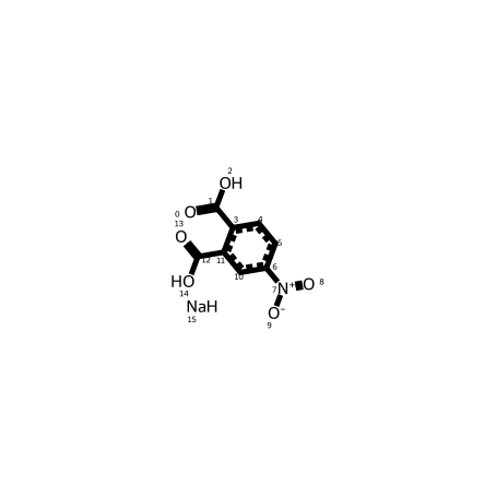 O=C(O)c1ccc([N+](=O)[O-])cc1C(=O)O.[NaH]